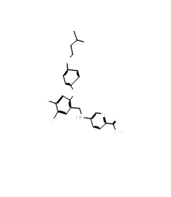 CC(C)CCOc1ccc(Oc2cc(Cl)c(Cl)cc2CNc2ccc(C(=O)O)nc2)cc1